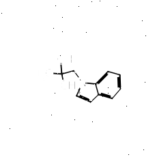 CC(C)(C)Cn1ccc2c[c]ccc21